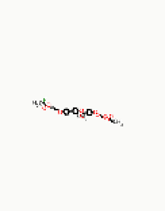 C=CC(=O)OOCCOOc1ccc(C(=O)OC2=CC=C(c3ccc(OCCCCOC(=O)C(=C)F)cc3)CC2C)cc1